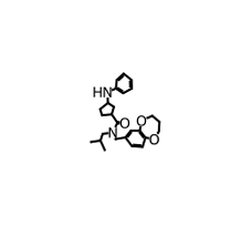 CC(C)CN(Cc1ccc2c(c1)OCCCO2)C(=O)C1CCC(Nc2ccccc2)C1